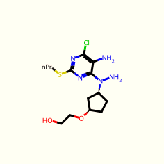 CCCSc1nc(Cl)c(N)c(N(N)[C@H]2CC[C@@H](OCCO)C2)n1